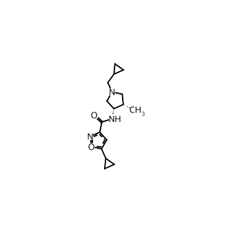 C[C@H]1CN(CC2CC2)C[C@H]1NC(=O)c1cc(C2CC2)on1